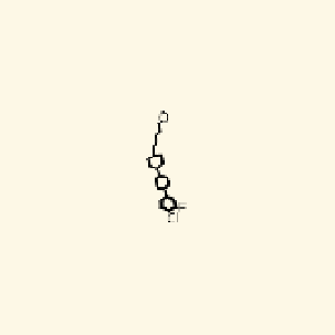 COCCCCCC1CCC(c2ccc(-c3ccc(Cl)c(F)c3)cc2)CC1